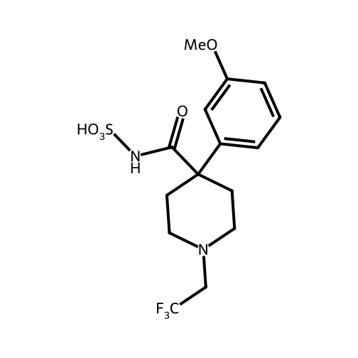 COc1cccc(C2(C(=O)NS(=O)(=O)O)CCN(CC(F)(F)F)CC2)c1